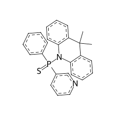 CC1(C)c2ccccc2N(P(=S)(c2ccccc2)c2cccnc2)c2ccccc21